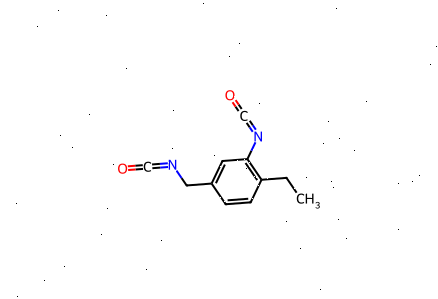 CCc1ccc(CN=C=O)cc1N=C=O